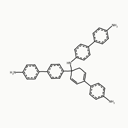 Nc1ccc(C2=CCC(Nc3ccc(-c4ccc(N)cc4)cc3)(c3ccc(-c4ccc(N)cc4)cc3)C=C2)cc1